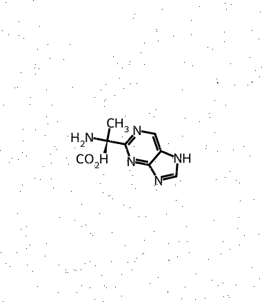 C[C@](N)(C(=O)O)c1ncc2[nH]cnc2n1